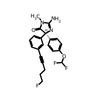 CN1C(=O)[C@](c2ccc(OC(F)F)cc2)(c2cccc(C#CCCCF)c2)N=C1N